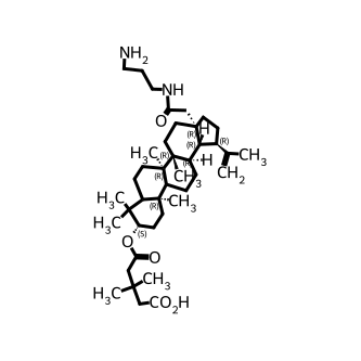 C=C(C)[C@@H]1CC[C@]2(CC(=O)NCCCN)CC[C@]3(C)[C@H](CCC4[C@@]5(C)CC[C@H](OC(=O)CC(C)(C)CC(=O)O)C(C)(C)C5CC[C@]43C)[C@@H]12